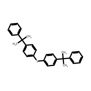 CC(C)(c1ccccc1)c1ccc(Sc2ccc(C(C)(C)c3ccccc3)cc2)cc1